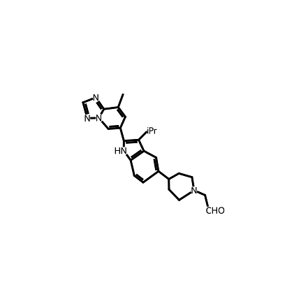 Cc1cc(-c2[nH]c3ccc(C4CCN(CC=O)CC4)cc3c2C(C)C)cn2ncnc12